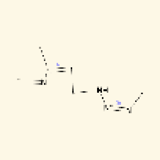 C=N/C(C)=C\CN/N=N\C